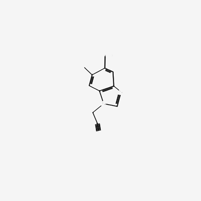 C#CCn1cnc2cc(C)c(C)cc21